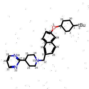 CC(C)(C)C1CCC(Oc2ccc3cc(CN4CCC(c5ncccn5)CC4)ccc3c2)CC1